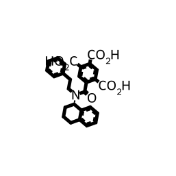 O=C(O)c1cc(C(=O)O)c(C(=O)N(CCc2ccccc2)[C@H]2CCCc3ccccc32)cc1C(=O)O